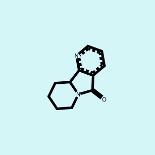 O=C1c2cccnc2C2CCCCN12